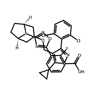 O=C(O)c1cccc(-c2nc(N3[C@@H]4CC[C@H]3CC(OCc3c(-c5c(Cl)cccc5Cl)noc3C3CC3)C4)no2)c1F